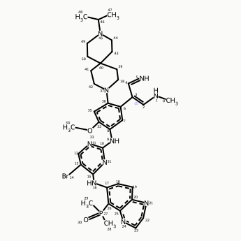 CN/C=C(\C=N)c1cc(Nc2ncc(Br)c(Nc3ccc4nccnc4c3P(C)(C)=O)n2)c(OC)cc1N1CCC2(CC1)CCN(C(C)C)CC2